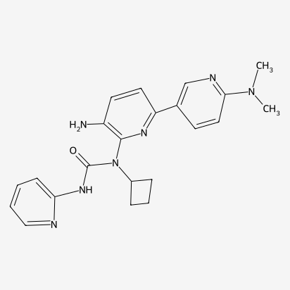 CN(C)c1ccc(-c2ccc(N)c(N(C(=O)Nc3ccccn3)C3CCC3)n2)cn1